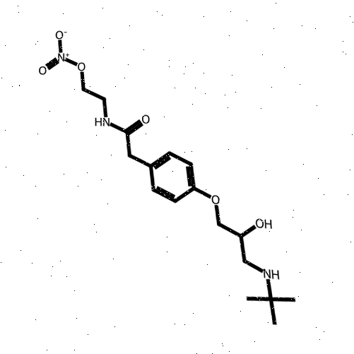 CC(C)(C)NCC(O)COc1ccc(CC(=O)NCCO[N+](=O)[O-])cc1